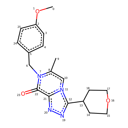 COc1ccc(Cn2c(C)cn3c(C4CCOCC4)nnc3c2=O)cc1